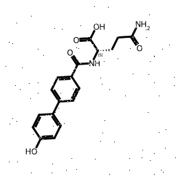 NC(=O)CC[C@H](NC(=O)c1ccc(-c2ccc(O)cc2)cc1)C(=O)O